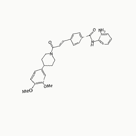 COc1ccc(C2CCN(C(=O)C=Cc3ccc(C(=O)Nc4ccccc4N)cc3)CC2)cc1OC